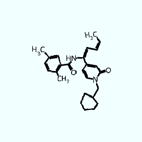 C/C=C\C=C(\NC(=O)c1cc(C)ccc1C)c1ccn(CC2CCCCC2)c(=O)c1